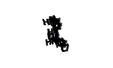 O=C1Nc2nc(Cl)ccc2/C1=C/Nc1ccc2cn[nH]c2c1